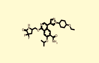 CCOC1CCC(n2cc(-c3cnc(OCC4CC(F)(F)C(=O)N4)c4cc(OC(C)C)c(C(N)=O)cc34)cn2)CC1